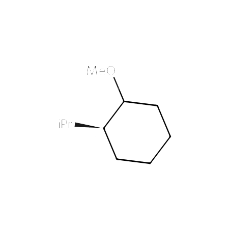 COC1CCCC[C@H]1C(C)C